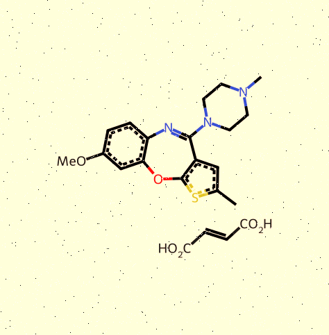 COc1ccc2c(c1)Oc1sc(C)cc1C(N1CCN(C)CC1)=N2.O=C(O)/C=C/C(=O)O